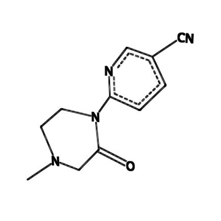 CN1CCN(c2ccc(C#N)cn2)C(=O)C1